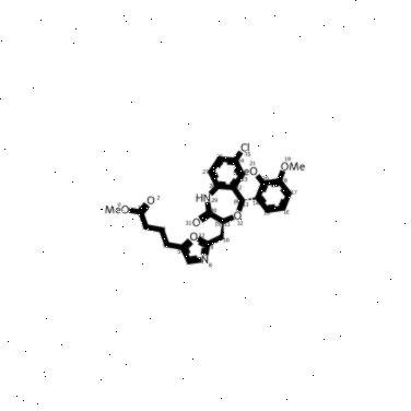 COC(=O)CCCc1cnc(C[C@@H]2O[C@@H](c3cccc(OC)c3OC)c3cc(Cl)ccc3NC2=O)o1